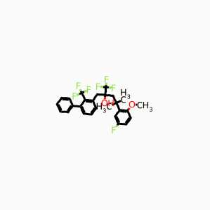 COc1ccc(F)cc1C(C)(C)CC(O)(Cc1cccc(-c2ccccc2)c1C(F)(F)F)C(F)(F)F